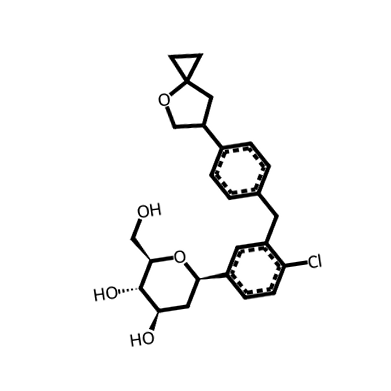 OC[C@H]1O[C@@H](c2ccc(Cl)c(Cc3ccc(C4COC5(CC5)C4)cc3)c2)C[C@@H](O)[C@@H]1O